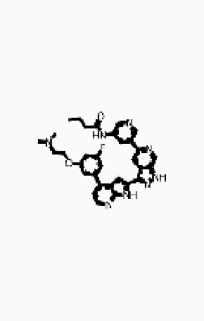 CCCC(=O)Nc1cncc(-c2cc3c(-c4cc5c(-c6cc(F)cc(OCCN(C)C)c6)ccnc5[nH]4)n[nH]c3cn2)c1